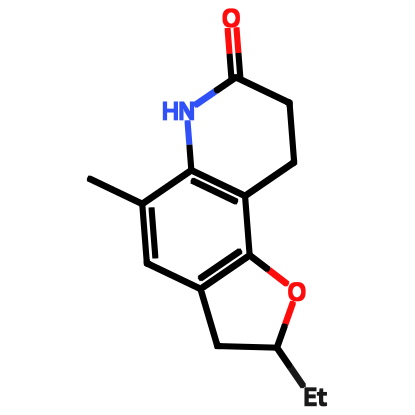 [CH2]CC1Cc2cc(C)c3c(c2O1)CCC(=O)N3